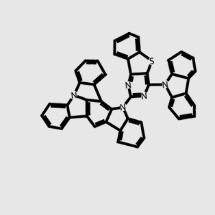 c1ccc2c(c1)sc1c(-n3c4ccccc4c4ccccc43)nc(-n3c4ccccc4c4cc5c6ccccc6n6c7ccccc7c(c43)c56)nc12